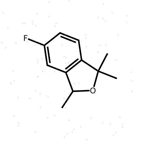 CC1OC(C)(C)c2ccc(F)cc21